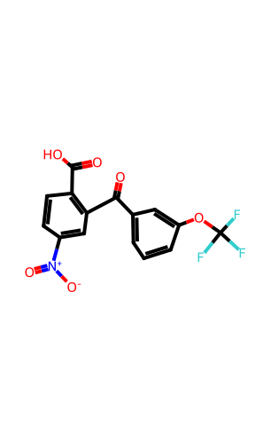 O=C(O)c1ccc([N+](=O)[O-])cc1C(=O)c1cccc(OC(F)(F)F)c1